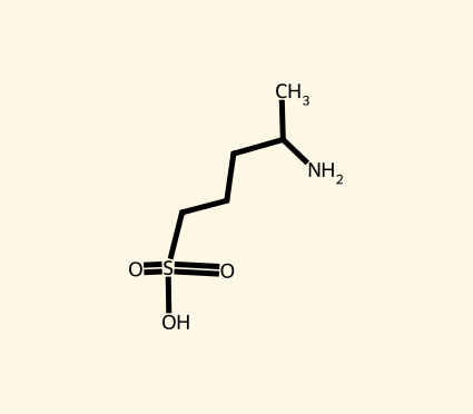 CC(N)CCCS(=O)(=O)O